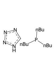 CCCCP(CCCC)CCCC.c1nnn[nH]1